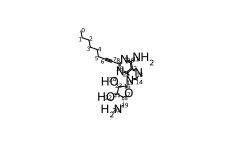 CCCCCCC#Cc1nc(N)c2ncn([C@@H]3O[C@H](CN)C(O)C3O)c2n1